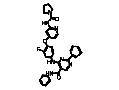 O=C(Nc1ccccc1)c1cnc(-c2ccccc2)nc1Nc1ccc(Oc2ccnc(NC(=O)N3CCCC3)c2)c(F)c1